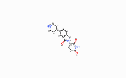 O=C1CC[C@H](N2Cc3ccc(C4CCNCC4)cc3C2=O)C(=O)N1